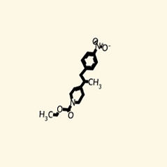 CCOC(=O)N1CC=C(C(C)Cc2ccc([N+](=O)[O-])cc2)CC1